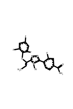 C/C=C(\Oc1c(F)cc(F)cc1F)c1nnc(-c2ccc(C(N)=O)cc2F)n1C(C)C